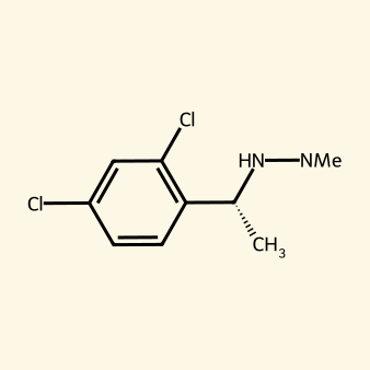 CNN[C@H](C)c1ccc(Cl)cc1Cl